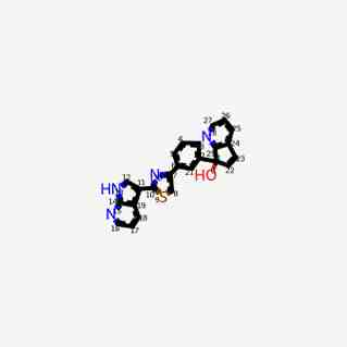 OC1(c2cccc(-c3csc(-c4c[nH]c5ncccc45)n3)c2)C=Cc2cccnc21